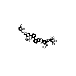 COc1nc(O[C@H]2CCc3c(-c4cccc(-c5cnc(CNC[C@@H]6CCC(=O)N6)c(OC)n5)c4Cl)cccc32)c(Cl)cc1CN[C@@](C)(CCO)C(=O)O